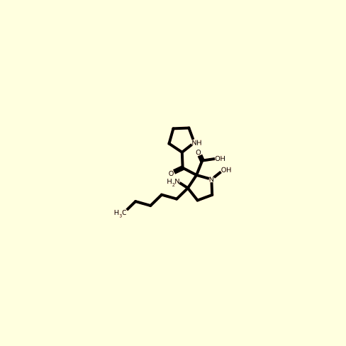 CCCCCC1(N)CCN(O)C1(C(=O)O)C(=O)C1CCCN1